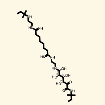 CCC(C)(C)NCCNC(=N)CCCCCCC(=N)NCCN[C@@H](O)[C@H](O)[C@H](O)[C@@H](O)C(=O)C(=O)NC(C)(C)CC